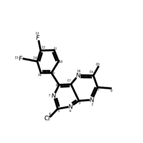 Cc1nc2nc(Cl)nc(-c3ccc(F)c(F)c3)c2nc1C